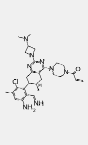 C=CC(=O)N1CCN(c2nc(N3CC(N(C)C)C3)nc3c2C[C@@H](C)C(c2c(Cl)c(C)cc(N)c2C=N)C3)CC1